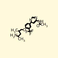 CC(=O)Nc1cc(-c2ccc(OCC(C)CC(C)N)c(C(F)(F)F)c2)ncn1